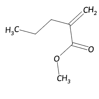 C=C(CCC)C(=O)OC